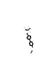 C[C@@H](N)[C@H](NC(=O)c1ccc(-c2ccc(CNCCF)cc2)cc1)C(=O)NO